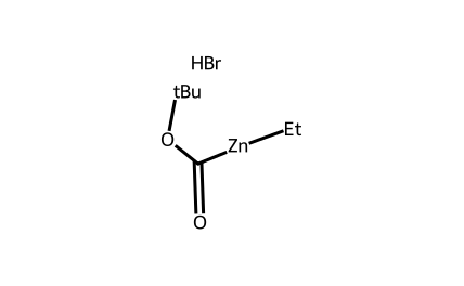 Br.C[CH2][Zn][C](=O)OC(C)(C)C